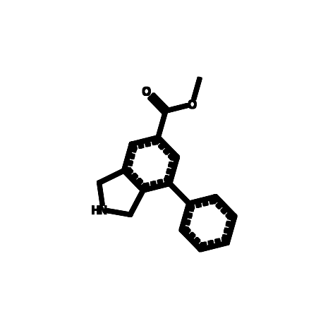 COC(=O)c1cc2c(c(-c3ccccc3)c1)CNC2